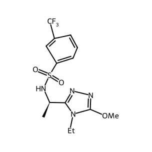 CCn1c(OC)nnc1[C@@H](C)NS(=O)(=O)c1cccc(C(F)(F)F)c1